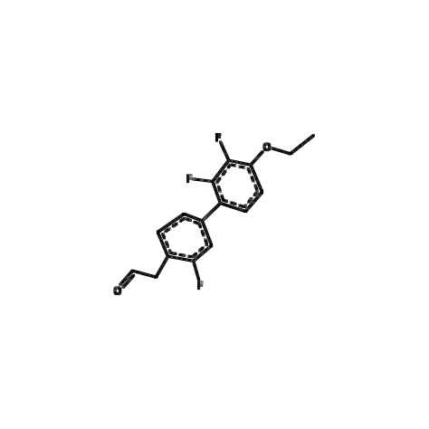 CCOc1ccc(-c2ccc(CC=O)c(F)c2)c(F)c1F